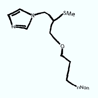 CCCCCCCCCCCCOCC(Cn1ccnc1)SC